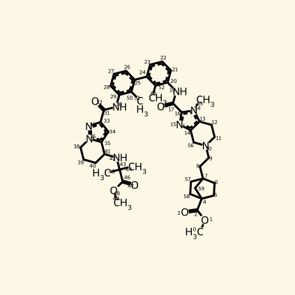 COC(=O)C12CCC(CCN3CCc4c(nc(C(=O)Nc5cccc(-c6cccc(NC(=O)c7cc8n(n7)CCCC8NC(C)(C)C(=O)OC)c6C)c5C)n4C)C3)(CC1)C2